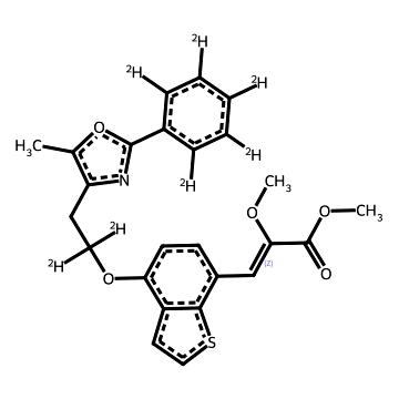 [2H]c1c([2H])c([2H])c(-c2nc(CC([2H])([2H])Oc3ccc(/C=C(\OC)C(=O)OC)c4sccc34)c(C)o2)c([2H])c1[2H]